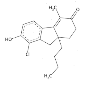 CCCCC12CCC(=O)C(C)=C1c1ccc(O)c(Cl)c1C2